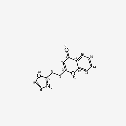 O=c1cc(CCc2ncco2)oc2ccccc12